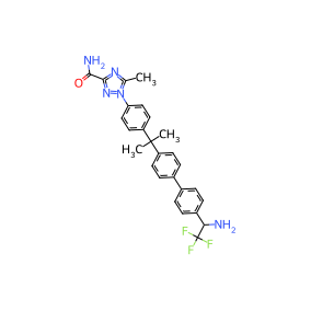 Cc1nc(C(N)=O)nn1-c1ccc(C(C)(C)c2ccc(-c3ccc(C(N)C(F)(F)F)cc3)cc2)cc1